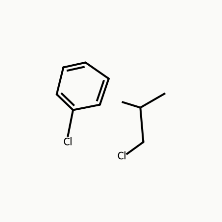 CC(C)CCl.Clc1ccccc1